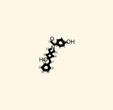 O=CC(c1ccc(O)cc1)N1CC2(C1)CC(O)(Cc1ccccc1)C2